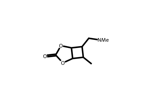 CNCC1C(C)C2OC(=O)OC12